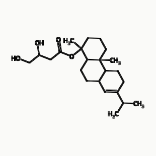 CC(C)C1=CC2CCC3C(C)(OC(=O)CC(O)CO)CCCC3(C)C2CC1